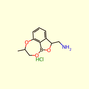 CC1COB2OC(CN)c3cccc(c32)O1.Cl